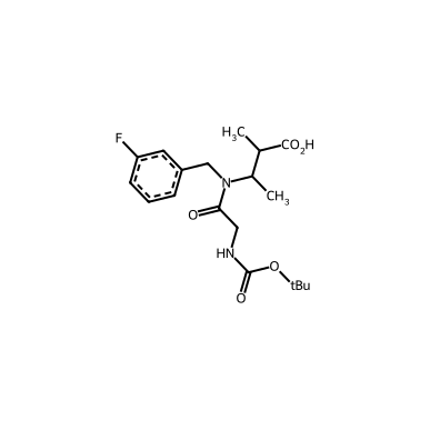 CC(C(=O)O)C(C)N(Cc1cccc(F)c1)C(=O)CNC(=O)OC(C)(C)C